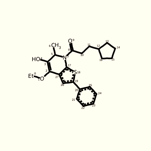 CCOC1=C(O)C(C)N(C(=O)CCC2CCCC2)c2sc(-c3ccccc3)cc21